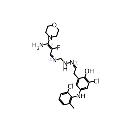 Cc1cccc(Cl)c1Nc1cc(Cl)c(O)c(C/C=N\NC/N=C\C(F)=C(/N)N2CCOCC2)c1